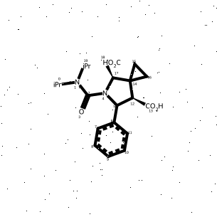 CC(C)N(C(=O)N1C(c2ccccc2)[C@H](C(=O)O)C2(CC2)[C@@H]1C(=O)O)C(C)C